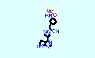 CS(=O)(=O)Nc1cccc(CC(C#N)n2cc(-c3ncnc4[nH]ccc34)cn2)c1